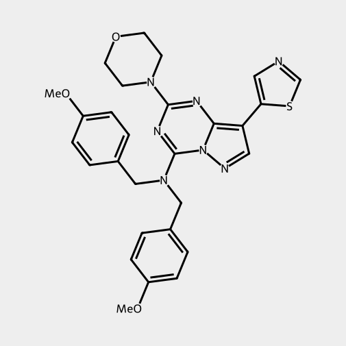 COc1ccc(CN(Cc2ccc(OC)cc2)c2nc(N3CCOCC3)nc3c(-c4cncs4)cnn23)cc1